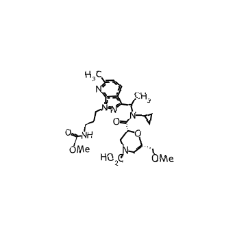 COC[C@@H]1CN(C(=O)O)C[C@H](C(=O)N(C2CC2)C(C)c2nn(CCCNC(=O)OC)c3nc(C)ccc23)O1